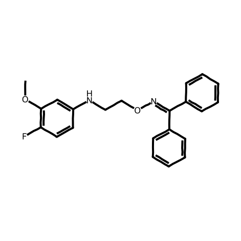 COc1cc(NCCON=C(c2ccccc2)c2ccccc2)ccc1F